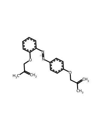 C=C(C)COc1ccc(/N=N/c2ccccc2OCC(=C)C)cc1